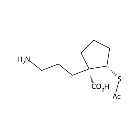 CC(=O)S[C@H]1CCC[C@@]1(CCCN)C(=O)O